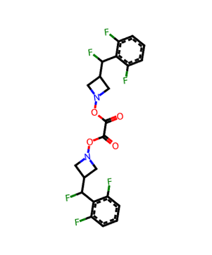 O=C(ON1CC(C(F)c2c(F)cccc2F)C1)C(=O)ON1CC(C(F)c2c(F)cccc2F)C1